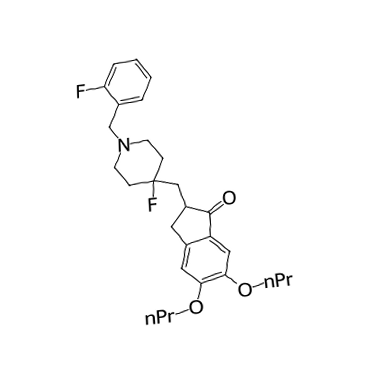 CCCOc1cc2c(cc1OCCC)C(=O)C(CC1(F)CCN(Cc3ccccc3F)CC1)C2